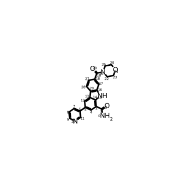 NC(=O)c1cc(-c2cccnc2)cc2c1[nH]c1cc(C(=O)N3CCOCC3)ccc12